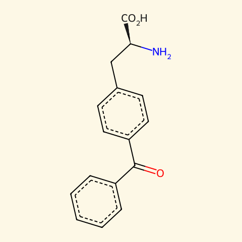 N[C@@H](Cc1ccc(C(=O)c2ccccc2)cc1)C(=O)O